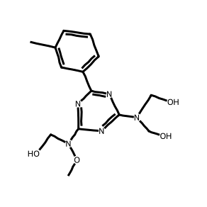 CON(CO)c1nc(-c2cccc(C)c2)nc(N(CO)CO)n1